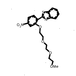 COCCOCCOCCOc1cc([N+](=O)[O-])ccc1-c1nc2ccccc2s1